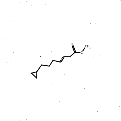 COC(=O)CC=CCCCC1[CH]C1